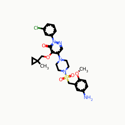 COc1ccc(N)cc1CS(=O)(=O)N1CCN(c2cnn(-c3cccc(Cl)c3)c(=O)c2OCC2(C)CC2)CC1